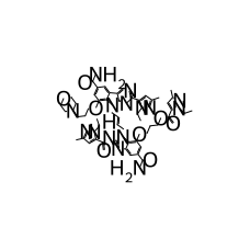 CCn1nc(C)cc1C(=O)Nc1nc2cc(C(N)=O)cc(OCCCOC(=O)c3cc(C)nn3CC)c2n1CC=CCn1c2nc(-c3cc(C)nn3CC)ncc2c2cc(C(N)=O)cc(OCCCN3CCOCC3)c21